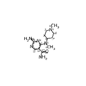 CN1CCC(N(C)c2nc(N)ncc2C(N)=O)CC1